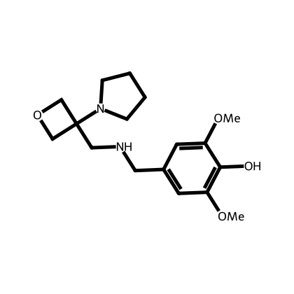 COc1cc(CNCC2(N3CCCC3)COC2)cc(OC)c1O